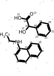 CCNc1cccc2ccccc12.O=C(O)C(O)c1ccccc1